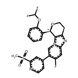 CS(=O)(=O)c1cc(-c2cn3c4c(nc3cc2F)CCO[C@@H]4c2ccccc2OC(F)F)ccn1